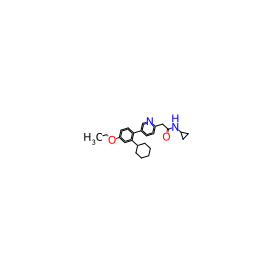 CCOc1ccc(-c2ccc(CC(=O)NC3CC3)nc2)c(C2CCCCC2)c1